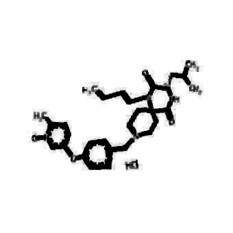 CCCCN1C(=O)[C@H](CC(C)C)NC(=O)C12CCN(Cc1ccc(Oc3ccc(C)[n+]([O-])c3)cc1)CC2.Cl